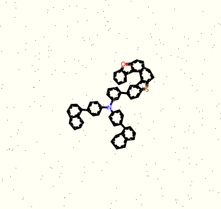 c1cc(-c2ccc3sc4ccc5ccc6oc7ccccc7c6c5c4c3c2)cc(N(c2ccc(-c3cccc4ccccc34)cc2)c2ccc(-c3cccc4ccccc34)cc2)c1